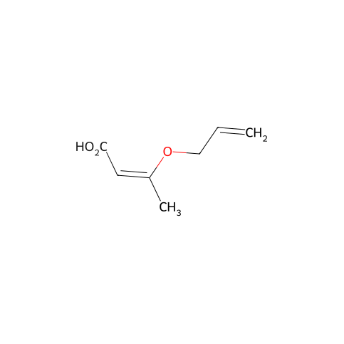 C=CCO/C(C)=C\C(=O)O